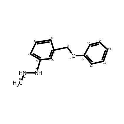 CNNc1cccc(COc2ccccc2)c1